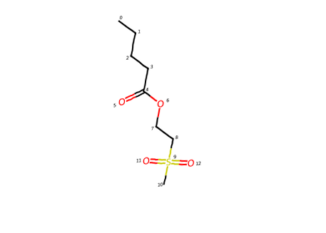 CCCCC(=O)OCCS(C)(=O)=O